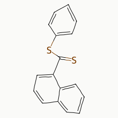 S=C(Sc1ccccc1)c1cccc2ccccc12